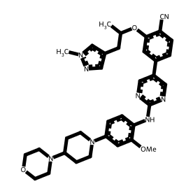 COc1cc(N2CCC(N3CCOCC3)CC2)ccc1Nc1ncc(-c2ccc(C#N)c(OC(C)Cc3cnn(C)c3)c2)cn1